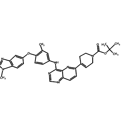 Cc1cc(Nc2ncnc3ccc(C4=CCN(C(=O)OC(C)(C)C)CC4)nc23)ccc1Oc1ccc2c(c1)ncn2C